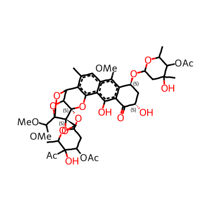 COc1c2c(c(O)c3c4c(c(C)cc13)C1OC3(C(OC)OC)OC1[C@@](OC1CC(OC(C)=O)C(O)(C(C)=O)C(C)O1)(O4)[C@@]31CO1)C(=O)[C@@H](O)C[C@@H]2OC1CC(C)(O)C(OC(C)=O)C(C)O1